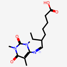 CCC(/C=N\c1c(C)c(=O)n(C)c(=O)n1C)CCCCC(=O)O